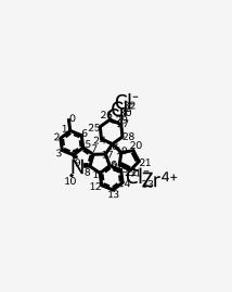 Cc1ccc2c(c1)c1c(n2C)-c2ccccc2C1C1(C2C=CC=C2)CCCCC1.[Cl-].[Cl-].[Cl-].[Cl-].[Zr+4]